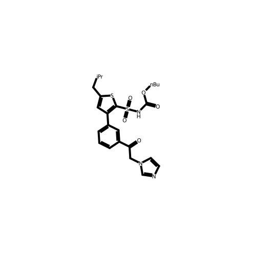 CCCCOC(=O)NS(=O)(=O)c1sc(CC(C)C)cc1-c1cccc(C(=O)Cn2ccnc2)c1